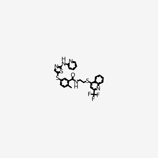 Cc1ccc(Sc2cnc(Nc3ccccn3)s2)cc1C(=O)NCCSc1cc(C(F)(F)F)nc2ccccc12